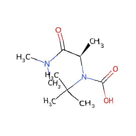 C[C@H](C(=O)N(C)C)N(C(=O)O)C(C)(C)C